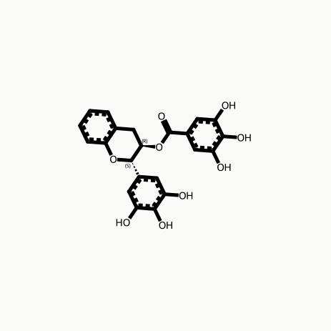 O=C(O[C@@H]1Cc2ccccc2O[C@H]1c1cc(O)c(O)c(O)c1)c1cc(O)c(O)c(O)c1